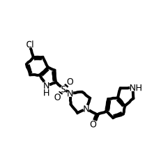 O=C(c1ccc2c(c1)CNC2)N1CCN(S(=O)(=O)c2cc3cc(Cl)ccc3[nH]2)CC1